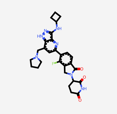 O=C1CCC(N2Cc3c(ccc(-c4cc(CN5CCCC5)c5[nH]nc(NC6CCC6)c5n4)c3F)C2=O)C(=O)N1